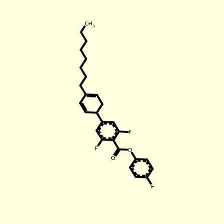 CCCCCCCCC1=CCC(c2cc(F)c(C(=O)Oc3ccc(F)cc3)c(F)c2)C=C1